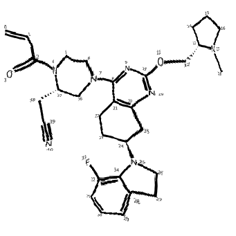 C=CC(=O)N1CCN(c2nc(OC[C@@H]3CCCN3C)nc3c2CC[C@H](N2CCc4cccc(F)c42)C3)C[C@@H]1CC#N